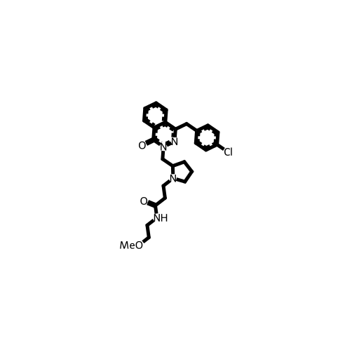 COCCNC(=O)CCN1CCCC1Cn1nc(Cc2ccc(Cl)cc2)c2ccccc2c1=O